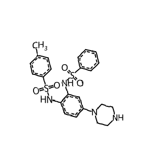 Cc1ccc(S(=O)(=O)Nc2ccc(N3CCNCC3)cc2NS(=O)(=O)c2ccccc2)cc1